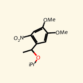 COc1cc(C(C)OC(C)C)c([N+](=O)[O-])cc1OC